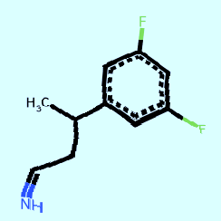 CC(CC=N)c1cc(F)cc(F)c1